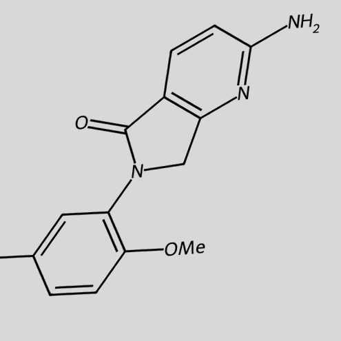 COc1ccc(C)cc1N1Cc2nc(N)ccc2C1=O